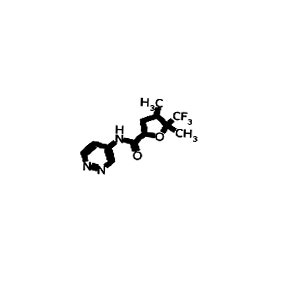 CC1CC(C(=O)Nc2ccnnc2)OC1(C)C(F)(F)F